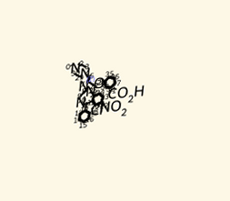 CN1CCN(/C=C2\N=C3CN=C(c4ccccc4Cl)c4cc([N+](=O)[O-])ccc4N3C2=O)CC1.O=C(O)c1ccccc1